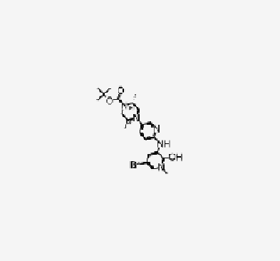 C[C@@H]1CN(c2ccc(NC3=CC(Br)=CN(C)C3O)nc2)[C@@H](C)CN1C(=O)OC(C)(C)C